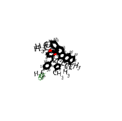 CC1=CC(C)[C]([Zr+2](=[C](c2ccc(C)cc2)c2ccc(C)cc2)[CH]2c3cc4c(cc3-c3cc5c(cc32)C(C)(C)C=C5)C=CC4(C)C)=C1.[Cl-].[Cl-]